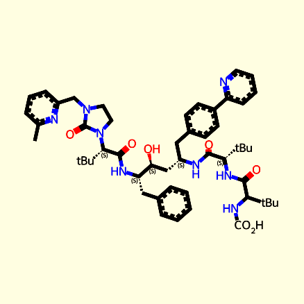 Cc1cccc(CN2CCN([C@H](C(=O)N[C@@H](Cc3ccccc3)[C@@H](O)C[C@H](Cc3ccc(-c4ccccn4)cc3)NC(=O)[C@@H](NC(=O)C(NC(=O)O)C(C)(C)C)C(C)(C)C)C(C)(C)C)C2=O)n1